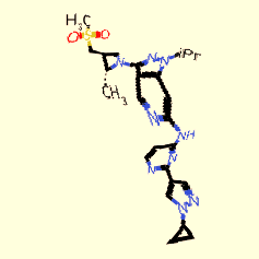 CC(C)n1nc(N2C[C@H](CS(C)(=O)=O)[C@H]2C)c2cnc(Nc3ccnc(-c4cnn(C5CC5)c4)n3)cc21